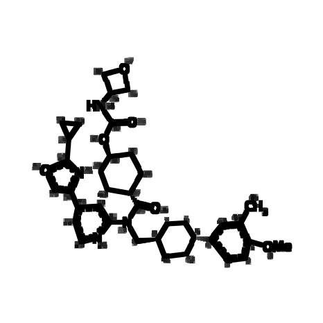 COc1ccc([C@H]2CC[C@H](CN(c3cc(-c4coc(C5CC5)n4)ccn3)C(=O)[C@H]3CC[C@H](OC(=O)NC4COC4)CC3)CC2)cc1C